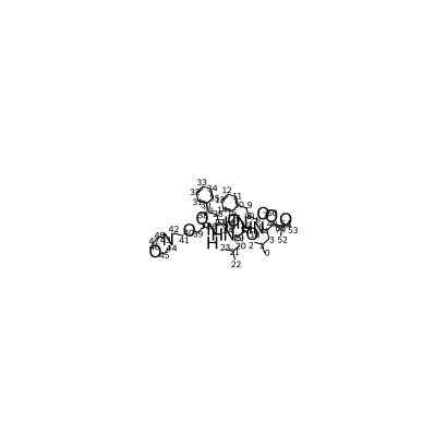 CC(C)CC(NC(=O)[C@H](Cc1ccccc1)NC(=O)[C@H](CC(C)C)NC(=O)[C@H](CCc1ccccc1)NC(=O)COCCN1CCOCC1)C(=O)[C@@]1(C)CO1